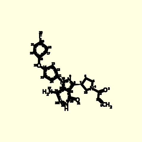 C=CC(=O)N1CC[C@@H](c2nn(-c3ccc(Oc4ccc(F)cc4)cc3)c3c(N)n[nH]c(=O)c23)C1